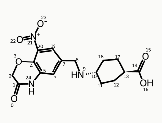 O=C1COc2c(cc(CN[C@H]3CC[C@H](C(=O)O)CC3)cc2[N+](=O)[O-])N1